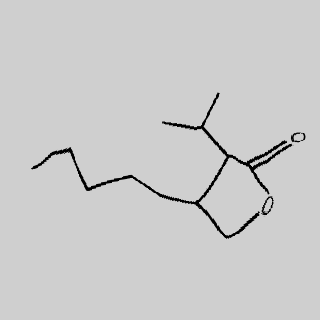 CCCCCC1COC(=O)C1C(C)C